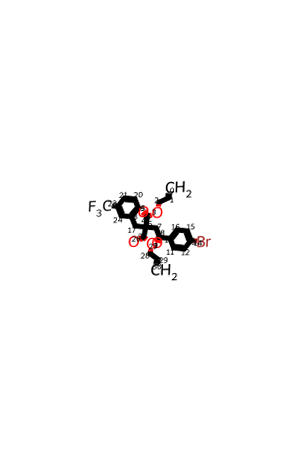 C=CCOC(=O)C(CC(=O)c1ccc(Br)cc1)(Cc1cccc(C(F)(F)F)c1)C(=O)OCC=C